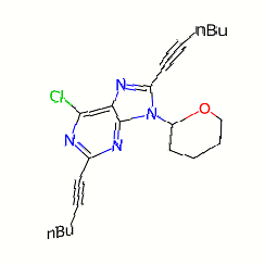 CCCCC#Cc1nc(Cl)c2nc(C#CCCCC)n(C3CCCCO3)c2n1